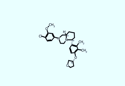 COc1cc(N2CCN3[C@@H](CCC[C@@H]3c3ccc(O[C@@H]4CCOC4)c(C)c3C)C2)ccc1Cl